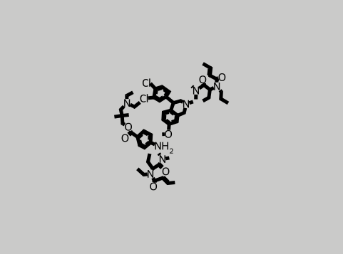 C/C=C/C(=O)N(CC)C(CC)C(=O)N(C)C.C/C=C/C(=O)N(CCC)C(CC)C(=O)N(C)C.CCN(CC)CC(C)(C)COC(=O)c1ccc(N)cc1.COc1ccc2c(c1)CN(C)CC2c1ccc(Cl)c(Cl)c1